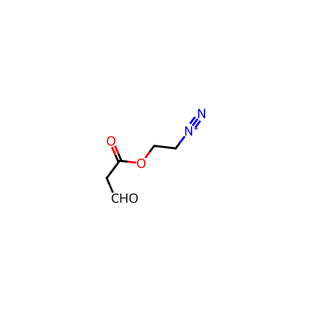 N#[N+]CCOC(=O)CC=O